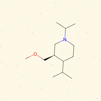 COC[C@H]1CN(C(C)C)CCC1C(C)C